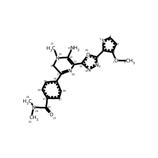 COc1ccsc1-c1nnc(C2=C(N)N(C)CC(c3ccc(C(=O)N(C)C)cc3)=N2)o1